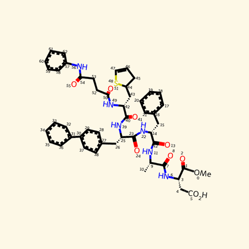 COC(=O)[C@H](CC(=O)O)NC(=O)[C@H](C)NC(=O)[C@@H](Cc1ccccc1)NC(=O)[C@H](Cc1ccc(-c2ccccc2)cc1)NC(=O)[C@@H](CC1CC=CS1)NC(=O)CCC(=O)Nc1ccccc1